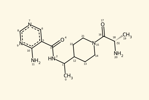 CC(NC(=O)c1cncnc1N)C1CCN(C(=O)[C@H](C)N)CC1